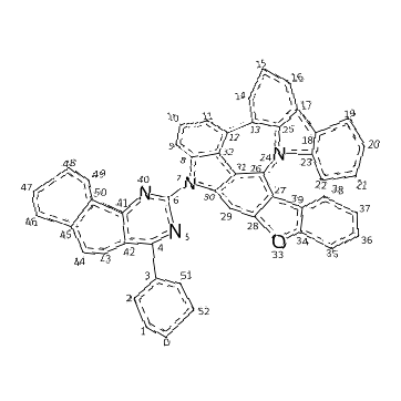 c1ccc(-c2nc(-n3c4cccc5c6cccc7c8ccccc8n(c67)c6c7c(cc3c6c54)oc3ccccc37)nc3c2ccc2ccccc23)cc1